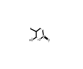 CC(C)CO.[CH][N+](=O)[O-]